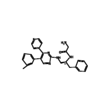 Cc1cccc(-c2cnc(NC[C@H](Cc3ccccc3)NC(=O)CN)nc2-c2ccncc2)c1